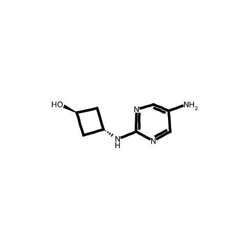 Nc1cnc(N[C@H]2C[C@H](O)C2)nc1